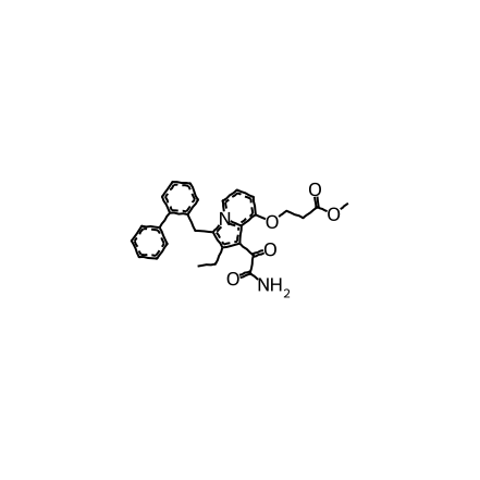 CCc1c(C(=O)C(N)=O)c2c(OCCC(=O)OC)cccn2c1Cc1ccccc1-c1ccccc1